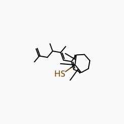 C=C(C)CC(C)/C(C)=C/C1=CC2=C(C)C(C)(S)C(C)=C1CCC2